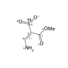 COC(=O)/C(=C\N)[SH](=O)=O